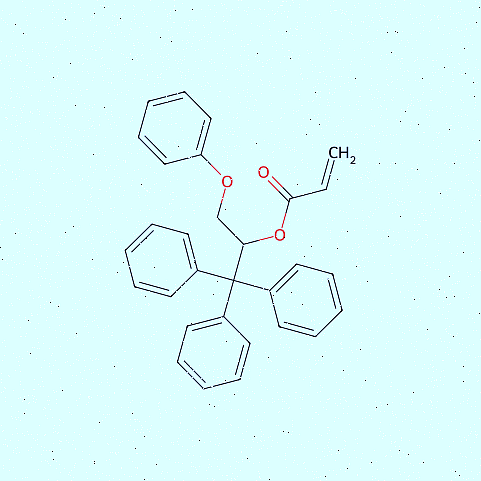 C=CC(=O)OC(COc1ccccc1)C(c1ccccc1)(c1ccccc1)c1ccccc1